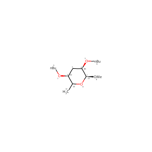 CCCCO[C@H]1C[C@@H](OCCCC)[C@@H](OC)OC1C